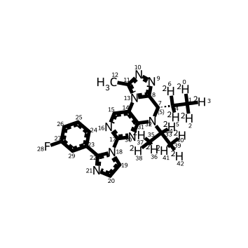 [2H]C([2H])([2H])C([2H])([2H])[C@H]1c2nnc(C)n2-c2cnc(-n3ccnc3-c3cccc(F)c3)nc2N1C([2H])(C([2H])([2H])[2H])C([2H])([2H])[2H]